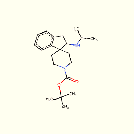 CC(C)N[C@@H]1Cc2ccccc2C12CCN(C(=O)OC(C)(C)C)CC2